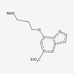 CCOC(=O)c1cc(OCCCOC)c2occc2c1